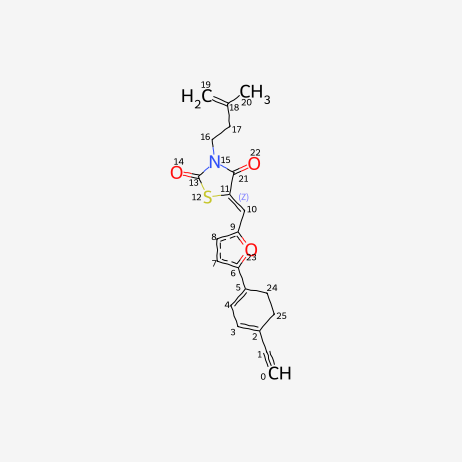 C#CC1=CC=C(c2ccc(/C=C3\SC(=O)N(CCC(=C)C)C3=O)o2)CC1